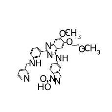 COCCOc1cc2c(Nc3ccc4c(cnn4C(=O)O)c3)nc(-c3cccc(NCc4cccnc4)c3)nc2cc1OC